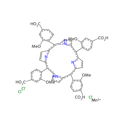 COc1cc(C(=O)O)ccc1-c1c2nc(c(-c3ccc(C(=O)O)cc3OC)c3ccc([nH]3)c(-c3ccc(C(=O)O)cc3OC)c3nc(c(-c4ccc(C(=O)O)cc4OC)c4ccc1[nH]4)C=C3)C=C2.[Cl-].[Cl-].[Cl-].[Mn+3]